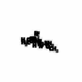 CCOCC(N)c1cnn2cc([C@@H](NC(=O)OC(C)(C)C)C3CCC(F)(F)CC3)nc2c1